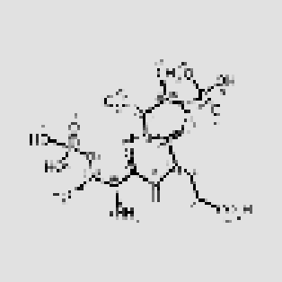 C[C@@H](OP(=O)(O)O)[C@H](N)C(=O)N[C@@H](CCC(=O)O)C(=O)N[C@H](C(=O)O)[C@@H](C)OP(=O)(O)O